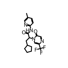 Cc1ccc(NC(=O)C(CC2CCCC2)n2cc(C(F)(F)F)ncc2=O)nc1